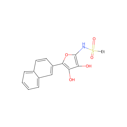 CCS(=O)(=O)Nc1oc(-c2ccc3ccccc3c2)c(O)c1O